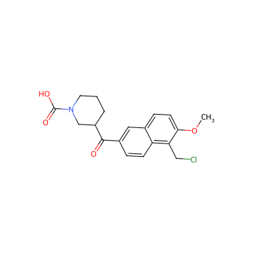 COc1ccc2cc(C(=O)C3CCCN(C(=O)O)C3)ccc2c1CCl